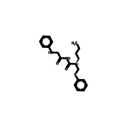 CCCC[C@H](CSc1ccccc1)C(=O)NC(=O)CNc1ccccc1